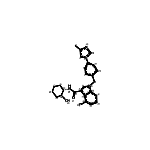 Cc1cn(-c2ccc(Cn3cc(C(=O)N[C@H]4CCCC[C@@H]4O)c4c(F)cccc43)cc2)cn1